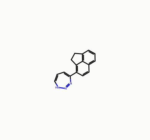 C1=CNN=NC(c2ccc3cccc4c3c2CC4)=C1